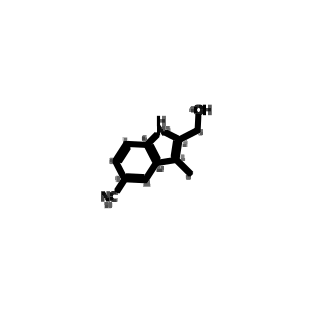 Cc1c(CO)[nH]c2ccc(C#N)cc12